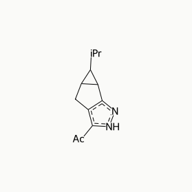 CC(=O)c1[nH]nc2c1CC1C2C1C(C)C